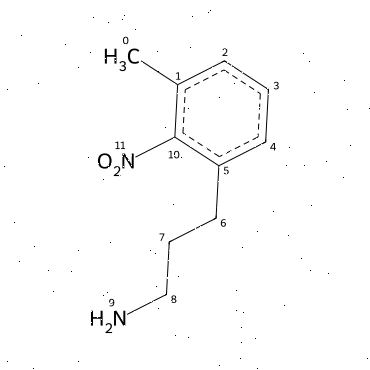 Cc1cccc(CCCN)c1[N+](=O)[O-]